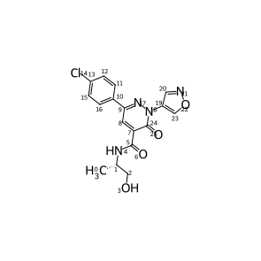 C[C@@H](CO)NC(=O)c1cc(-c2ccc(Cl)cc2)nn(-c2cnoc2)c1=O